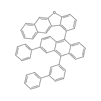 c1ccc(-c2cccc(-c3c4ccccc4c(-c4cccc5oc6cc7ccccc7cc6c45)c4ccc(-c5ccccc5)cc34)c2)cc1